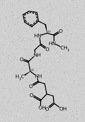 CNC(=O)[C@H](Cc1ccccc1)NC(=O)CNC(=O)[C@H](C)NC(=O)CC(CC(=O)O)C(=O)O